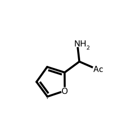 CC(=O)C(N)c1cc[c]o1